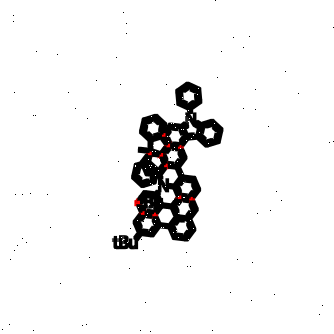 CC(C)(C)c1cc(-c2cccc3cccc(-c4ccccc4N(C4=CC(c5ccc6c(c5)c5ccccc5n6-c5ccccc5)CC=C4)c4ccccc4-c4ccc5c(c4)C(C)(c4ccccc4)c4ccccc4-5)c23)cc(C(C)(C)C)c1